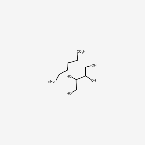 CCCCCCCCCCCCCC(=O)O.OCC(O)C(O)CO